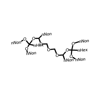 CCCCCCCCCOC(CCCCCC)(OCCCCCCCCC)OC(CCCCCCCCC)OCOCOC(CCCCCCCCC)OC(CCCCCC)(OCCCCCCCCC)OCCCCCCCCC